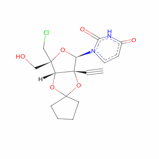 C#C[C@@]12OC3(CCCC3)O[C@@H]1[C@](CO)(CCl)O[C@H]2n1ccc(=O)[nH]c1=O